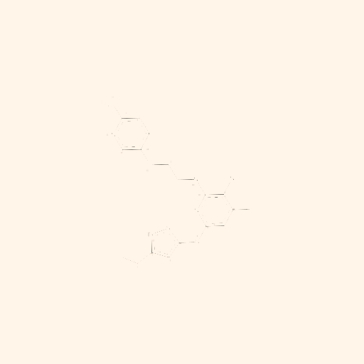 [C-]#[N+]c1c(C)cc(Nc2cc(CO)[nH]n2)nc1NCCOc1ccc(C)nc1